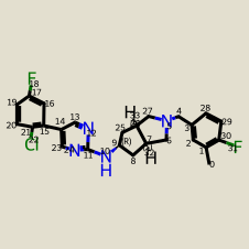 Cc1cc(CN2C[C@H]3C[C@@H](Nc4ncc(-c5cc(F)ccc5Cl)cn4)C[C@H]3C2)ccc1F